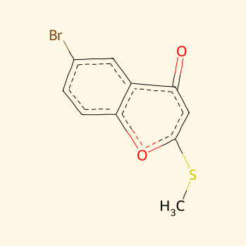 CSc1cc(=O)c2cc(Br)ccc2o1